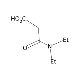 CCN(CC)C(=O)CC(=O)O